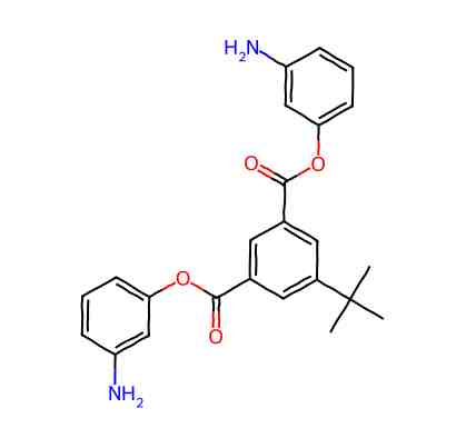 CC(C)(C)c1cc(C(=O)Oc2cccc(N)c2)cc(C(=O)Oc2cccc(N)c2)c1